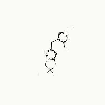 Cn1cc(Cc2cc3n(n2)CC(C)(C)O3)c(Br)n1